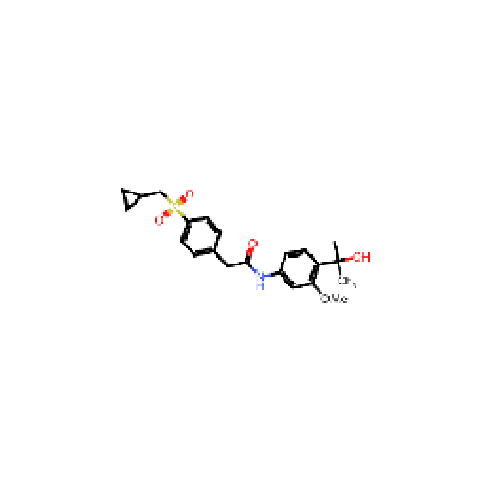 COc1cc(NC(=O)Cc2ccc(S(=O)(=O)CC3CC3)cc2)ccc1C(C)(O)C(F)(F)F